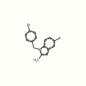 CCc1ccc(Cn2c(C)cc3cc(F)ccc32)cc1